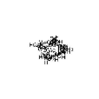 COc1cc2c(cc1OCCCOc1cc3c(cc1OC)C(=O)N1CC4(CC4)C[C@H]1C(O)N3C(=O)OCc1ccc(NC(=O)[C@H](C)NC(=O)[C@@H](NC(=O)CNC(=O)CNC(=O)CCC(=O)N3Cc4ccccc4C4=C(NNN4C(C)C)c4ccccc43)C(C)C)cc1)N=C[C@@H]1CC(CO)=CN1C2=O